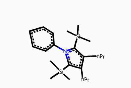 CCCc1c(CCC)c([Si](C)(C)C)n(-c2ccccc2)c1[Si](C)(C)C